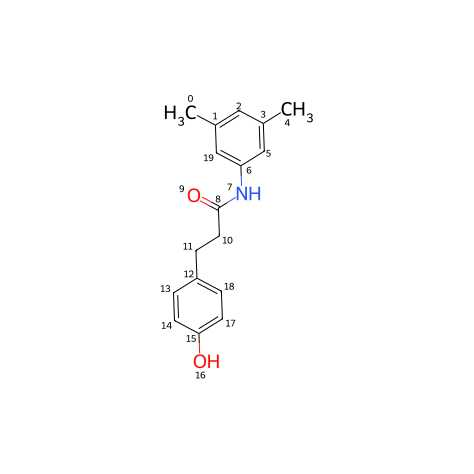 Cc1cc(C)cc(NC(=O)CCc2ccc(O)cc2)c1